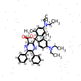 CCN(CC)c1ccc(C2(c3ccc(N(CC)CC)cc3C)OC(=O)c3nc(-c4ccccc4)c(-c4ccccc4)nc32)c(C)c1